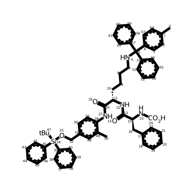 Cc1ccc(C(NCCCC[C@H](NC(=O)[C@H](Cc2ccccc2)NC(=O)O)C(=O)Nc2ccc(CO[Si](c3ccccc3)(c3ccccc3)C(C)(C)C)cc2C)(c2ccccc2)c2ccccc2)cc1